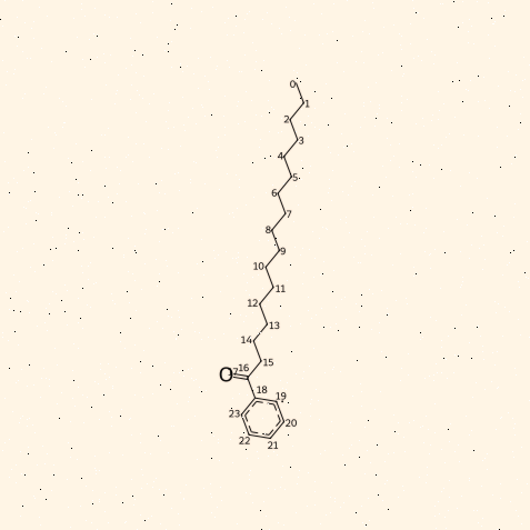 CCCCCCCCCCCCCCCCC(=O)c1[c]cccc1